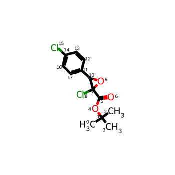 CC(C)(C)OC(=O)C1(Cl)OC1c1ccc(Cl)cc1